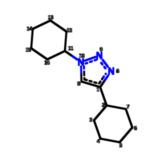 c1c(C2CCCCC2)nnn1C1CCCCC1